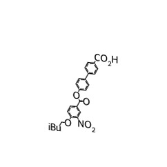 CCC(C)COc1ccc(C(=O)Oc2ccc(-c3ccc(C(=O)O)cc3)cc2)cc1[N+](=O)[O-]